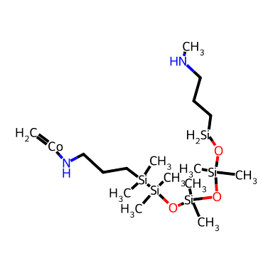 [CH2]=[Co][NH]CCC[Si](C)(C)[Si](C)(C)O[Si](C)(C)O[Si](C)(C)O[SiH2]CCCNC